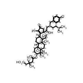 CC(C)C1=C2[C@H]3CC[C@@H]4[C@@]5(C)CC[C@H](OC(=O)CC(C)(C)CC(=O)O)C(C)(C)[C@@H]5CC[C@@]4(C)[C@]3(C)CC[C@@]2([C@H](O)CN(CCN(C)C)Cc2ccc(Cl)cc2)CC1=O